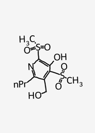 CCCc1nc(S(C)(=O)=O)c(O)c(S(C)(=O)=O)c1CO